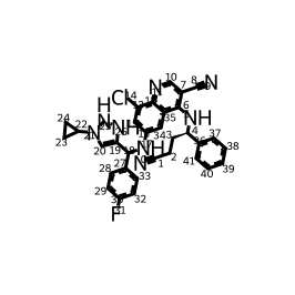 N#CCC[C@@H](Nc1c(C#N)cnc2c(Cl)cc(NC(C3=CN(C4CC4)NN3)c3ccc(F)cc3)cc12)c1ccccc1